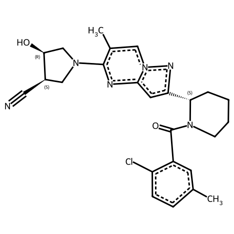 Cc1ccc(Cl)c(C(=O)N2CCCC[C@H]2c2cc3nc(N4C[C@@H](C#N)[C@@H](O)C4)c(C)cn3n2)c1